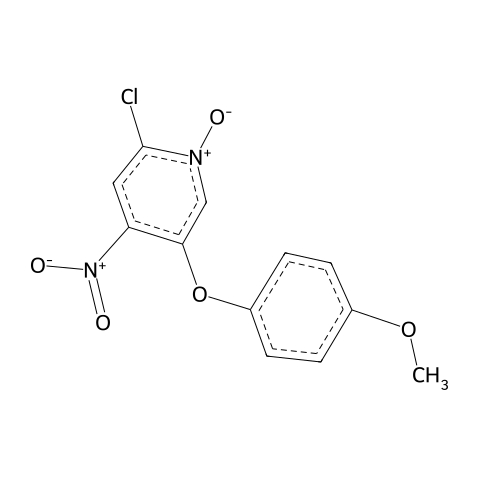 COc1ccc(Oc2c[n+]([O-])c(Cl)cc2[N+](=O)[O-])cc1